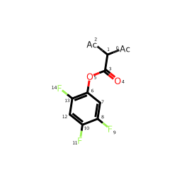 CC(=O)C(C(C)=O)C(=O)Oc1cc(F)c(F)cc1F